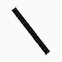 C1C2CC3C4C5C6C7C8C9C%10C%11C%12C%13C%14C%15C%16C%17C%18C%19C%20C%21C%22C%23C%24C%25C%26C%27C%28C%29C%30C%31CC%32CC%33C%34C%35C%36C%37C%38C%39C%40C%41C%42C%43C%44C%45C%46C%47C%48C%49C%50C%51C%52C%53C%54C%55C%56C%57C%58C%59C%60C1C23C%604C%595C%586C%577C%568C%559C%54%10C%53%11C%52%12C%51%13C%50%14C%49%15C%48%16C%47%17C%46%18C%45%19C%44%20C%43%21C%42%22C%41%23C%40%24C%39%25C%38%26C%37%27C%36%28C%35%29C%34%30C%32%33%31